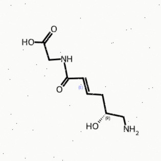 NC[C@H](O)C/C=C/C(=O)NCC(=O)O